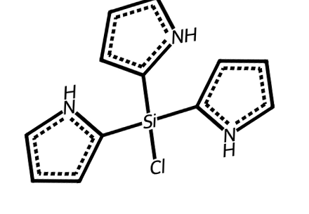 Cl[Si](c1ccc[nH]1)(c1ccc[nH]1)c1ccc[nH]1